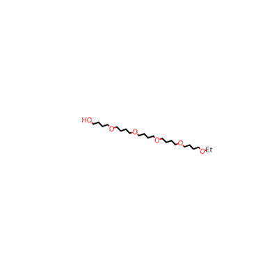 CCOCCCCOCCCCOCCCCOCCCCOCCCCO